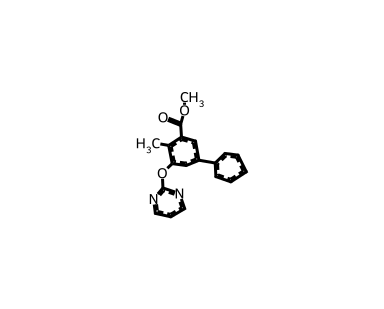 COC(=O)c1cc(-c2ccccc2)cc(Oc2ncccn2)c1C